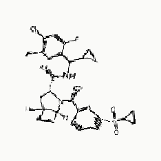 O=C(N[C@@H](c1cc(F)c(Cl)cc1F)C1CC1)[C@H]1C[C@H]2CC[C@H]2N1C(=O)c1cccc(S(=O)(=O)C2CC2)c1